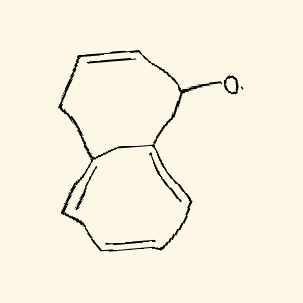 [O]C1C=CCc2ccccc21